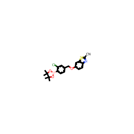 CC1(C)OB(c2ccc(COc3ccc4nc(C#N)sc4c3)cc2Cl)OC1(C)C